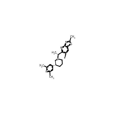 Cc1cc([C@H]2CCCN([C@H](C)c3nc4nc(C)sc4cc3F)C2)cc(C)n1